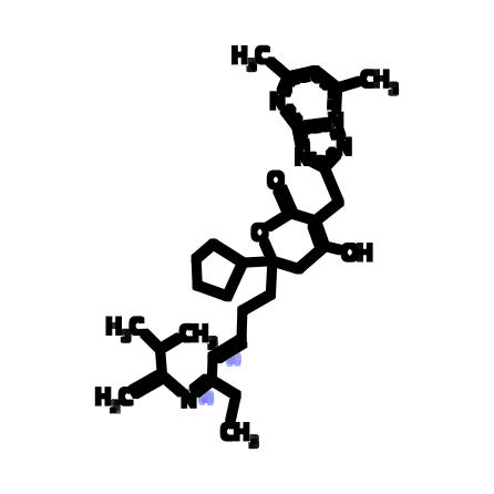 C=C(/N=C(\C=C\CCC1(C2CCCC2)CC(O)=C(Cc2nc3nc(C)cc(C)n3n2)C(=O)O1)CC)C(C)C